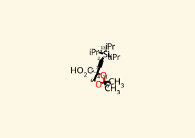 CC(C)[Si](C#C[C@]1(C(=O)O)COC(C)(C)O1)(C(C)C)C(C)C